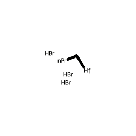 Br.Br.Br.CCC[CH2][Hf]